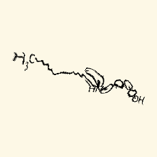 CCCCCCCCCCCCCCCCCC(=O)NCOc1ccc(Oc2ccc(O)cc2)cc1